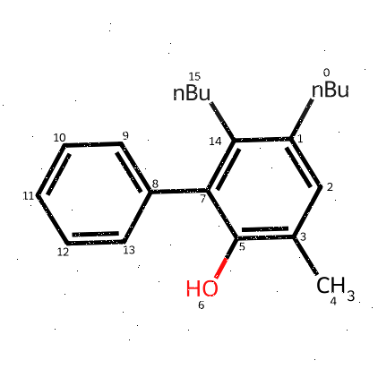 CCCCc1cc(C)c(O)c(-c2ccccc2)c1CCCC